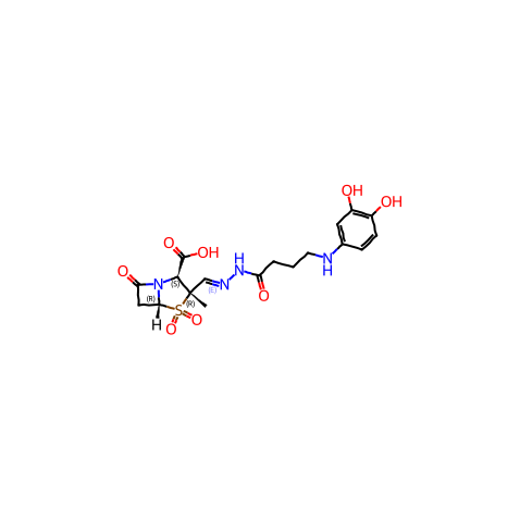 C[C@]1(/C=N/NC(=O)CCCNc2ccc(O)c(O)c2)[C@H](C(=O)O)N2C(=O)C[C@H]2S1(=O)=O